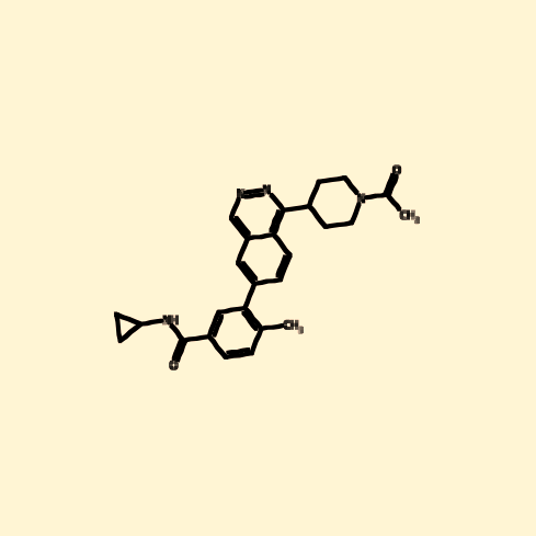 CC(=O)N1CCC(c2nncc3cc(-c4cc(C(=O)NC5CC5)ccc4C)ccc23)CC1